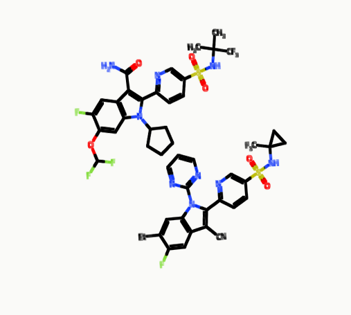 CC(C)(NS(=O)(=O)c1ccc(-c2c(C(N)=O)c3cc(F)c(OC(F)F)cc3n2C2CCCC2)nc1)C(F)(F)F.CCc1cc2c(cc1F)c(C#N)c(-c1ccc(S(=O)(=O)NC3(C(F)(F)F)CC3)cn1)n2-c1ncccn1